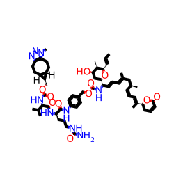 C/C=C/[C@@H]1O[C@H](C(/C=C/C=C(\C)C[C@@H](C)/C=C\C=C(/C)[C@H]2CC=CC(=O)O2)NC(=O)OCc2ccc(NC(=O)[C@@H](CCCNC(N)=O)NC(=O)[C@H](NC(=O)OC[C@@H]3[C@@H]4CCc5nnn(C)c5CC[C@@H]43)C(C)C)cc2)C[C@@H](O)[C@@H]1C